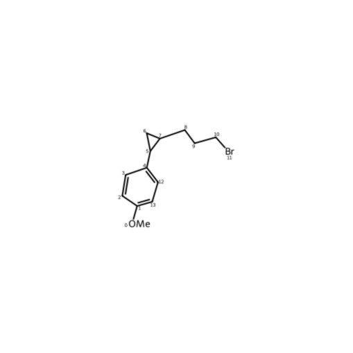 COc1ccc(C2CC2CCCBr)cc1